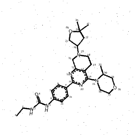 CCNC(=O)Nc1ccc(-c2nc3c(c(N4CCOCC4C)n2)CCN(C2COC(C)(C)C2)C3)cc1